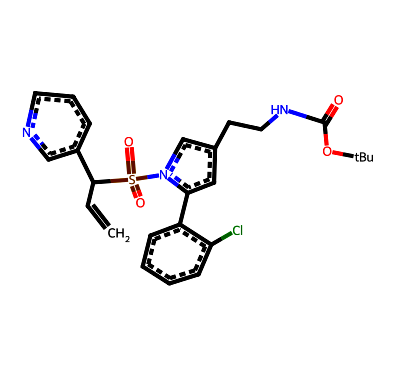 C=CC(c1cccnc1)S(=O)(=O)n1cc(CCNC(=O)OC(C)(C)C)cc1-c1ccccc1Cl